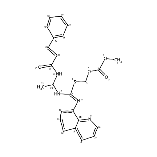 COC(=O)OCS/C(=N/c1cccc2cccnc12)NC(C)NC(=O)/C=C/c1ccccc1